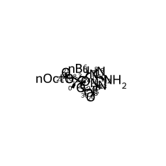 C#C[C@](CC[C@@H](CCCC)n1cnc2c(N)nc(F)nc21)(COC(=O)CCCCCCCC)C(=O)OC1CCOC1